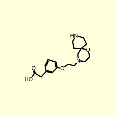 O=C(O)Cc1cccc(OCCN2CCOC3(CCNCC3)C2)c1